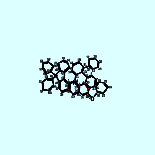 c1ccc(-c2ccccc2-c2c(-c3ccccc3)cccc2N(c2ccc3oc4ccccc4c3c2)c2cccc3c2-c2ccccc2C3(c2ccccc2)c2ccccc2)cc1